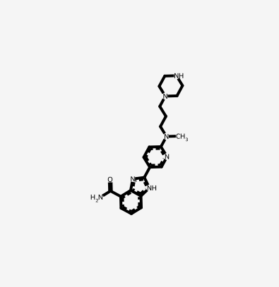 CN(CCCN1CCNCC1)c1ccc(-c2nc3c(C(N)=O)cccc3[nH]2)cn1